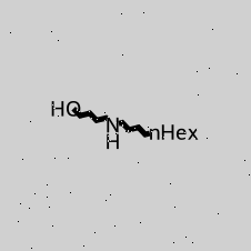 CCCCCCCCCCNCCCCO